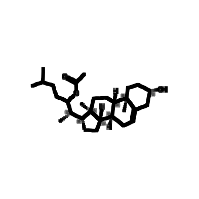 CC(=O)OC(CCC(C)C)[C@@H](C)[C@H]1CC[C@H]2[C@@H]3CC=C4C[C@@H](O)CC[C@]4(C)[C@H]3CC[C@]12C